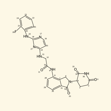 O=C1CCC(N2Cc3c(NC(=O)CNc4ccnc(Nc5ccccc5F)n4)cccc3C2=O)C(=O)N1